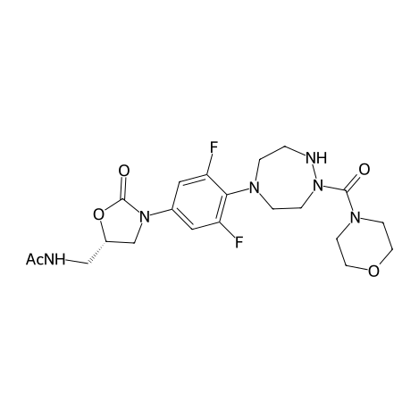 CC(=O)NC[C@H]1CN(c2cc(F)c(N3CCNN(C(=O)N4CCOCC4)CC3)c(F)c2)C(=O)O1